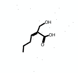 CCC/C=C(/CO)C(=O)O